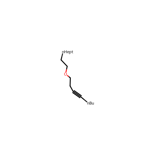 CCCCC#CCCOCCCCCCCCC